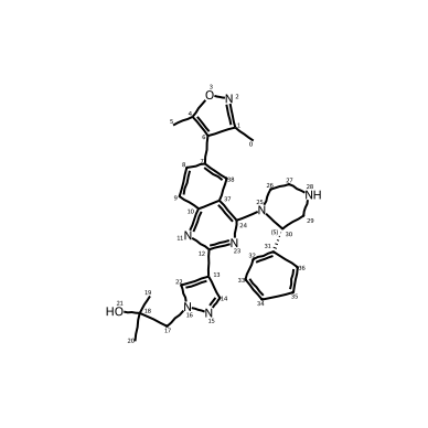 Cc1noc(C)c1-c1ccc2nc(-c3cnn(CC(C)(C)O)c3)nc(N3CCNC[C@@H]3c3ccccc3)c2c1